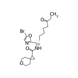 CCC(=O)CCCCC[C@H](NC(=O)C1CC12CCOCC2)c1ncc(Br)o1